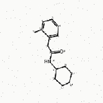 Cc1ccccc1CC(=O)NC1CCCCC1